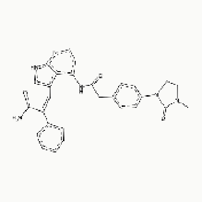 CN1CCN(c2ccc(CC(=O)Nc3ccnc4[nH]cc(C=C(C(N)=O)c5ccccc5)c34)cc2)C1=O